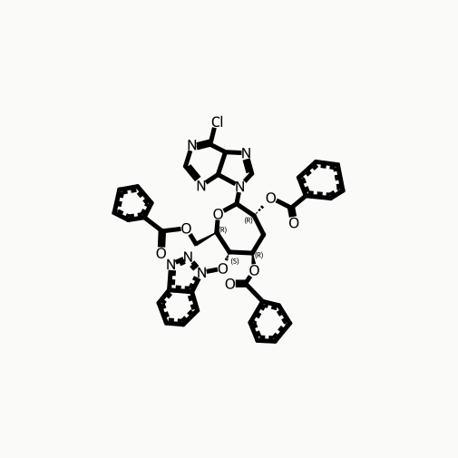 O=C(OC[C@H]1OC(N2C=NC3C(Cl)=NC=NC32)[C@H](OC(=O)c2ccccc2)C[C@@H](OC(=O)c2ccccc2)[C@@H]1On1nnc2ccccc21)c1ccccc1